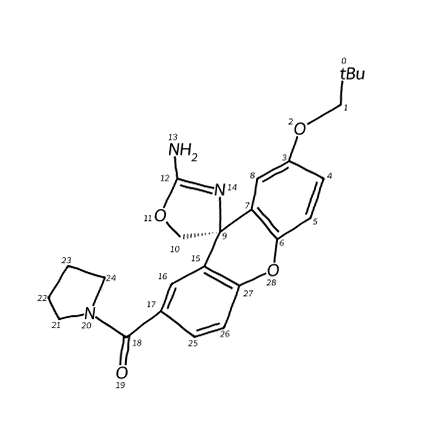 CC(C)(C)COc1ccc2c(c1)[C@@]1(COC(N)=N1)c1cc(C(=O)N3CCCC3)ccc1O2